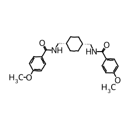 COc1ccc(C(=O)NC[C@H]2CC[C@@H](CNC(=O)c3ccc(OC)cc3)CC2)cc1